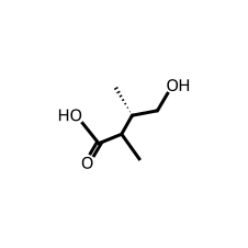 CC(C(=O)O)[C@H](C)CO